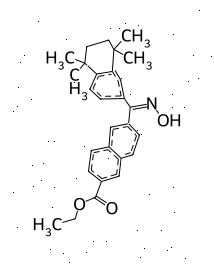 CCOC(=O)c1ccc2cc(/C(=N\O)c3ccc4c(c3)C(C)(C)CCC4(C)C)ccc2c1